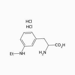 CCNc1cccc(CC(N)C(=O)O)c1.Cl.Cl